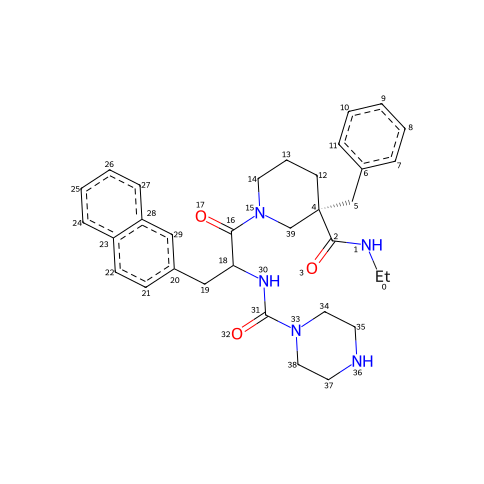 CCNC(=O)[C@]1(Cc2ccccc2)CCCN(C(=O)C(Cc2ccc3ccccc3c2)NC(=O)N2CCNCC2)C1